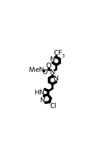 CNOC(=O)N(Cc1ccc(C(F)(F)F)nc1)c1ccc(Cc2c[nH]c3ncc(Cl)cc23)cn1